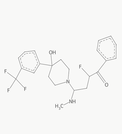 CNC(CC(F)C(=O)c1ccccc1)N1CCC(O)(c2cccc(C(F)(F)F)c2)CC1